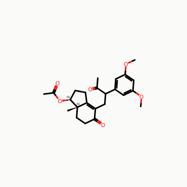 COc1cc(OC)cc(C(CC2=C3CC[C@H](OC(C)=O)[C@@]3(C)CCC2=O)C(C)=O)c1